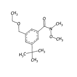 CCOCc1cc(C(=O)N(C)OC)cc(C(C)(C)C)c1